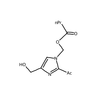 CCCC(=O)OCn1cc(CO)nc1C(C)=O